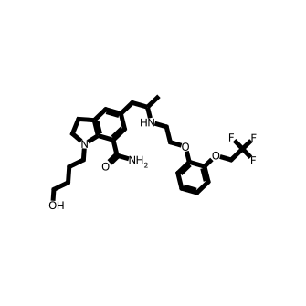 CC(Cc1cc2c(c(C(N)=O)c1)N(CCCCO)CC2)NCCOc1ccccc1OCC(F)(F)F